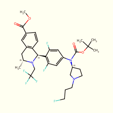 COC(=O)c1ccc2c(c1)C[C@@H](C)N(CC(F)(F)F)[C@@H]2c1c(F)cc(N(C(=O)OC(C)(C)C)[C@H]2CCN(CCCF)C2)cc1F